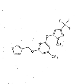 Cc1cc(OCc2ccsc2)nc(Oc2cc(C(F)(F)F)nn2C)c1